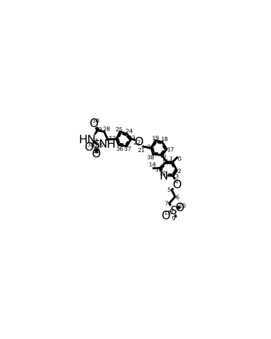 Cc1cc(OCCCS(C)(=O)=O)nc(C)c1-c1cccc(COc2ccc(C3CC(=O)NS(=O)(=O)N3)cc2)c1